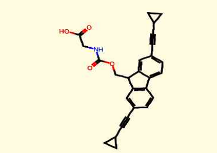 O=C(O)CNC(=O)OCC1c2cc(C#CC3CC3)ccc2-c2ccc(C#CC3CC3)cc21